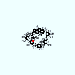 C[C@H](CC[C@@H](O[C@@H]1O[C@H](CO[C@@H]2C[C@H](CO)[C@@H](O)[C@H](O)[C@H]2O)[C@@H](O)[C@H](O)[C@H]1O[C@@H]1O[C@H](CO)[C@@H](O)[C@H](O)[C@H]1O)C(C)(C)O)[C@H]1CC[C@@]2(C)[C@@H]3CC=C4[C@@H](CC[C@H](O[C@@H]5O[C@H](CO[C@@H]6O[C@H](CO)[C@@H](O)[C@H](O)[C@H]6O)[C@@H](O)[C@H](O)[C@H]5O)C4(C)C)[C@]3(C)[C@H](O)C[C@]12C